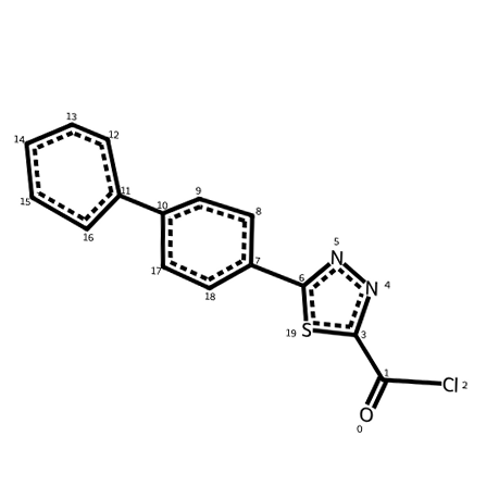 O=C(Cl)c1nnc(-c2ccc(-c3ccccc3)cc2)s1